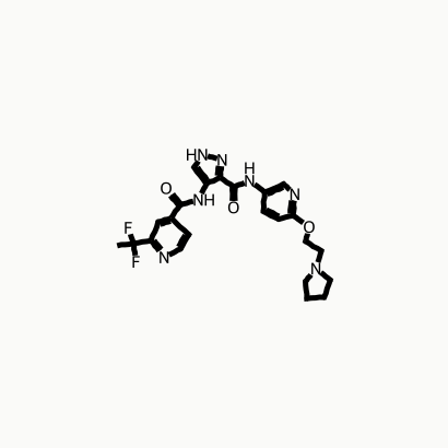 CC(F)(F)c1cc(C(=O)Nc2c[nH]nc2C(=O)Nc2ccc(OCCN3CCCC3)nc2)ccn1